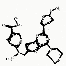 CNc1ccc(-c2nc(N3CCOCC3)c3sc(CN(C)c4ncc(C(=O)NO)cn4)cc3n2)cn1